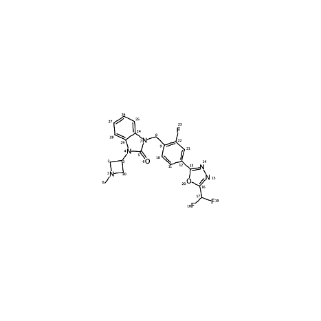 CN1CC(n2c(=O)n(Cc3ccc(-c4nnc(C(F)F)o4)cc3F)c3ccccc32)C1